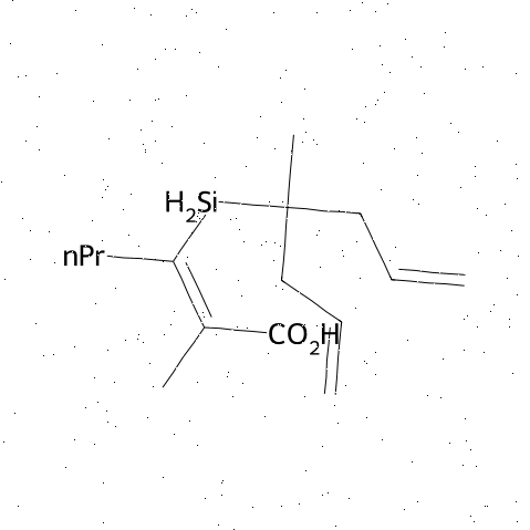 C=CCC(C)(CC=C)[SiH2]C(CCC)=C(C)C(=O)O